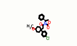 COC1CCC(CC(=O)N2C(=O)OC[C@@H]2c2ccccc2)(c2ccc(Cl)cc2)CC1